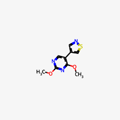 COc1ncc(-c2cnsc2)c(OC)n1